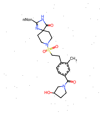 CCCCCCCCCC1=NC2(CCN(S(=O)(=O)CCc3ccc(C(=O)N4CCC(O)C4)cc3C)CC2)C(=O)N1